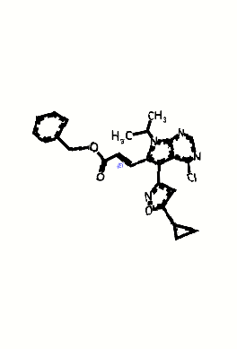 CC(C)n1c(/C=C/C(=O)OCc2ccccc2)c(-c2cc(C3CC3)on2)c2c(Cl)ncnc21